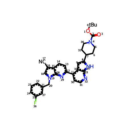 CC(C)(C)OC(=O)N1CCC(c2cc3c(-c4ccc5c(C#N)cn(Cc6cccc(F)c6)c5n4)ccnc3[nH]2)CC1